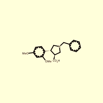 COc1ccc([C@@H]2CN(Cc3ccccc3)C[C@H]2C(=O)O)c(OC)c1